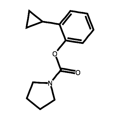 O=C(Oc1ccccc1C1CC1)N1CCCC1